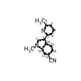 Cc1cccc(-c2cn(C)c3cc(C#N)ccc23)n1